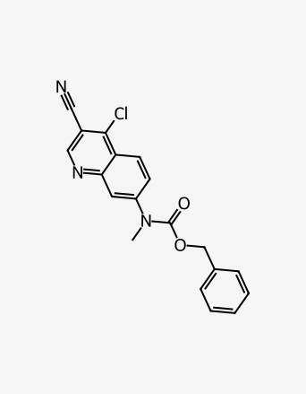 CN(C(=O)OCc1ccccc1)c1ccc2c(Cl)c(C#N)cnc2c1